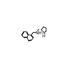 c1ccc2c(CNC[C@@H]3CCCN3)cccc2c1